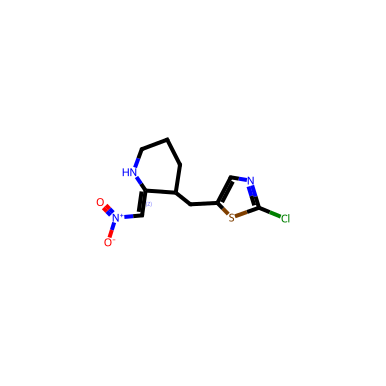 O=[N+]([O-])/C=C1\NCCCC1Cc1cnc(Cl)s1